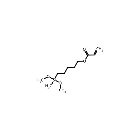 C=CC(=O)OCCCCC[Si](C)(OC)OC